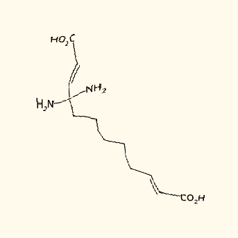 NC(N)(C=CC(=O)O)CCCCCC=CC(=O)O